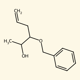 C=CCC(OCc1ccccc1)C(C)O